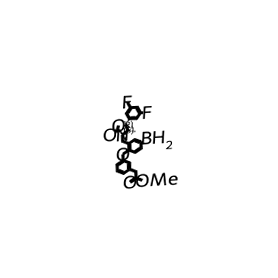 Bc1ccc(Oc2cccc(CC(=O)OC)c2)c(CN2C(=O)O[C@H](c3cc(F)cc(F)c3)[C@@H]2C)c1